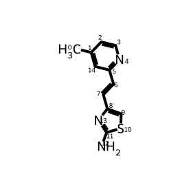 Cc1ccnc(C=Cc2csc(N)n2)c1